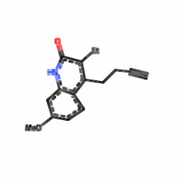 C#CCCc1c(CC)c(=O)[nH]c2cc(OC)ccc12